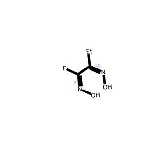 CCC(=N/O)/C(F)=N\O